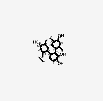 CC.Cc1cc(-c2ccc(O)c(O)c2-c2cc(C)c(O)cc2C)c(C)cc1O